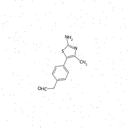 Cc1nc(N)sc1-c1ccc(CC=O)cc1